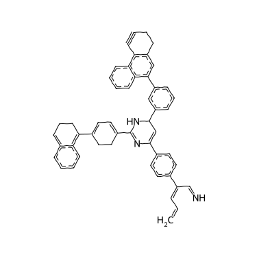 C=C/C=C(\C=N)c1ccc(C2=CC(c3cccc(-c4cc5c(c6ccccc46)C#CCC5)c3)NC(C3=CC=C(C4=c5ccccc5=CCC4)CC3)=N2)cc1